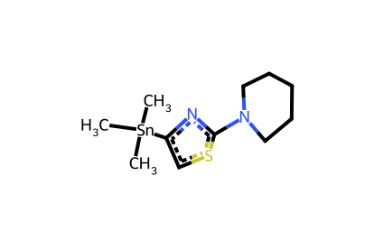 [CH3][Sn]([CH3])([CH3])[c]1csc(N2CCCCC2)n1